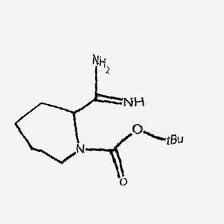 CC(C)(C)OC(=O)N1CCCCC1C(=N)N